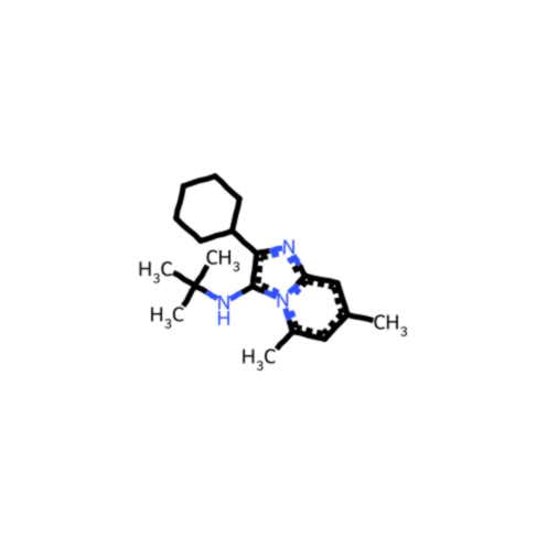 Cc1cc(C)n2c(NC(C)(C)C)c(C3CCCCC3)nc2c1